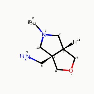 CCC(C)N1C[C@@H]2COC[C@]2(CN)C1